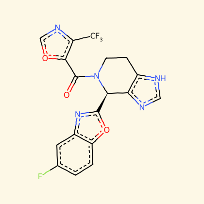 O=C(c1ocnc1C(F)(F)F)N1CCc2[nH]cnc2[C@H]1c1nc2cc(F)ccc2o1